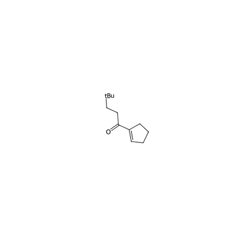 CC(C)(C)CCC(=O)C1=CCCC1